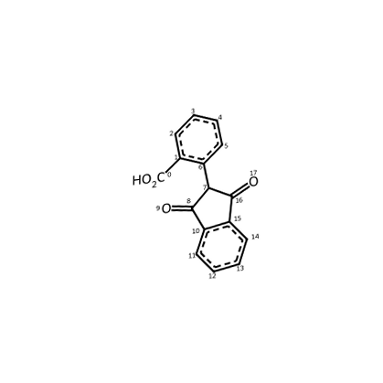 O=C(O)c1ccccc1C1C(=O)c2ccccc2C1=O